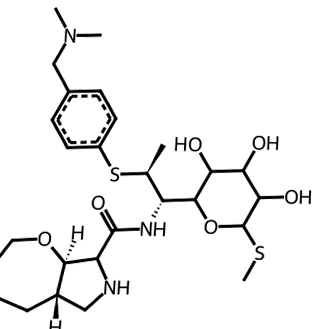 CSC1OC([C@H](NC(=O)C2NC[C@@H]3CCCCO[C@@H]23)[C@H](C)Sc2ccc(CN(C)C)cc2)C(O)C(O)C1O